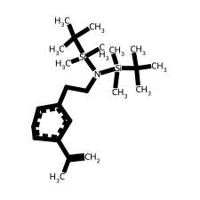 C=C(C)c1cccc(CCN([Si](C)(C)C(C)(C)C)[Si](C)(C)C(C)(C)C)c1